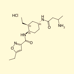 CCc1cc(C(=O)N[C@@H]2CC[C@@H](NC(=O)CC(C)N)C[C@@H]2CC)no1.Cl